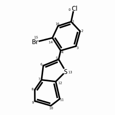 Clc1ccc(-c2cc3ccccc3s2)c(Br)c1